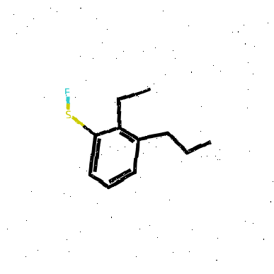 CCCc1cccc(SF)c1CC